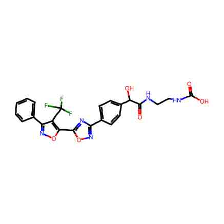 O=C(O)NCCNC(=O)C(O)c1ccc(-c2noc(-c3onc(-c4ccccc4)c3C(F)(F)F)n2)cc1